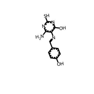 Nc1nc(S)nc(O)c1N=Cc1ccc(O)cc1